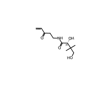 C=CC(=O)CCNC(=O)[C@H](O)C(C)(C)CO